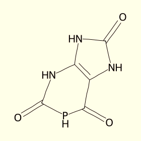 O=c1[nH]c2[nH]c(=O)[pH]c(=O)c2[nH]1